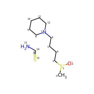 C[S+]([O-])CCCCN1CCCCC1.NC=S